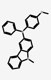 COc1ccc(N(c2ccccc2)c2ccc3c(c2)c2ccccc2n3C)cc1